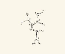 COc1ncc(C2CC2)cc1C(C)C